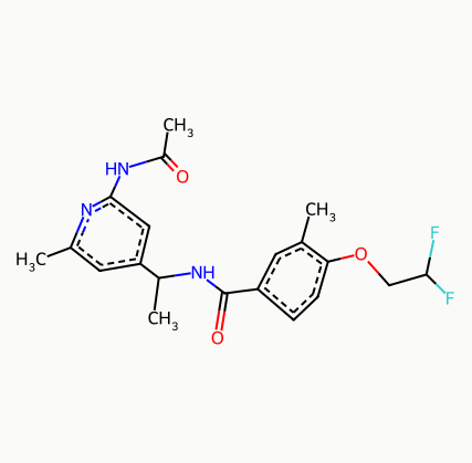 CC(=O)Nc1cc(C(C)NC(=O)c2ccc(OCC(F)F)c(C)c2)cc(C)n1